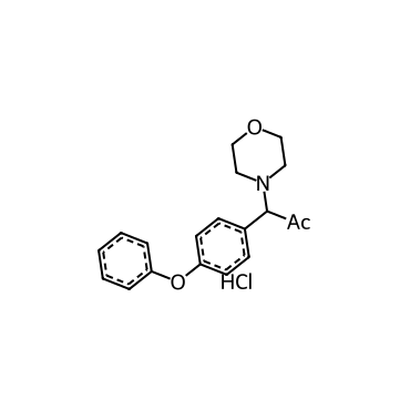 CC(=O)C(c1ccc(Oc2ccccc2)cc1)N1CCOCC1.Cl